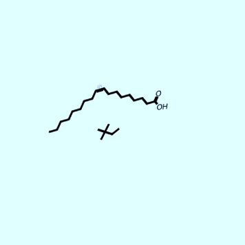 CCC(C)(C)C.CCCCCCCC/C=C\CCCCCCCC(=O)O